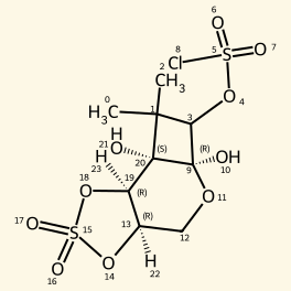 CC1(C)C(OS(=O)(=O)Cl)[C@@]2(O)OC[C@H]3OS(=O)(=O)O[C@H]3[C@@]12O